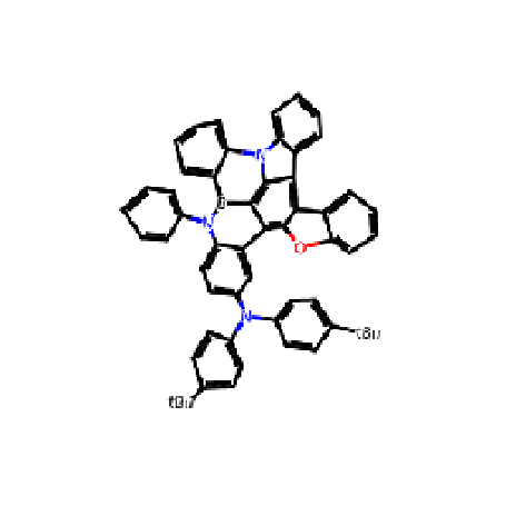 CC(C)(C)c1ccc(N(c2ccc(C(C)(C)C)cc2)c2ccc3c(c2)-c2c4c5c(c6ccccc6n5-c5ccccc5B4N3c3ccccc3)c3c2oc2ccccc23)cc1